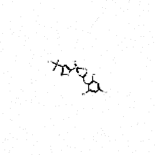 CC(C)c1cc(C#N)cc(C(C)C)c1NC(=O)N=S(N)(=O)c1cc(C(C)(C)O)cs1